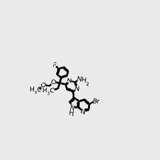 CCC(OCOC)(c1cccc(F)c1)c1cc(-c2c[nH]c3ncc(Br)cc23)nc(N)n1